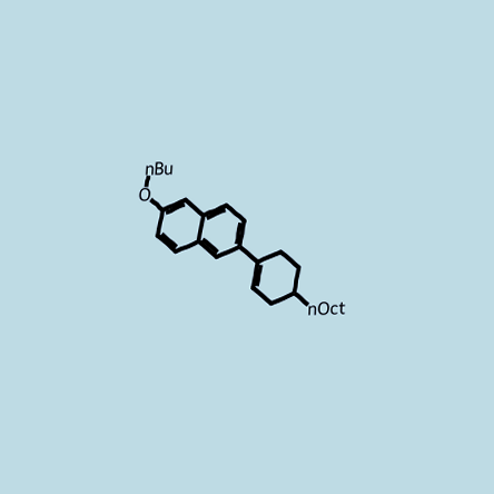 CCCCCCCCC1CC=C(c2ccc3cc(OCCCC)ccc3c2)CC1